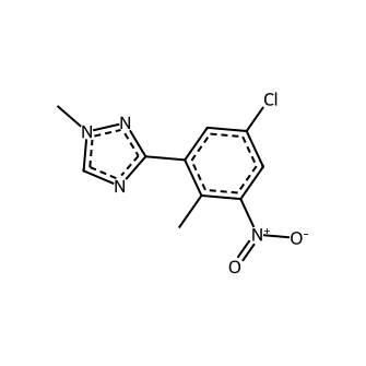 Cc1c(-c2ncn(C)n2)cc(Cl)cc1[N+](=O)[O-]